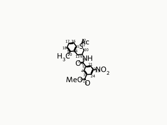 COC(=O)c1cc(C(=O)NC(CSC(C)=O)Cc2ccccc2C)cc([N+](=O)[O-])c1